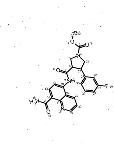 CC(C)(C)OC(=O)N1CC(C(=O)Nc2ccc(C(N)=O)c3ncccc23)C(c2cccc(F)c2)C1